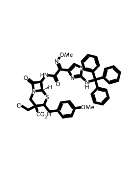 CON=C(C(=O)NC1C(=O)N2CC(CCl)(C(=O)O)C(Cc3ccc(OC)cc3)S[C@H]12)c1csc(NC(c2ccccc2)(c2ccccc2)c2ccccc2)n1